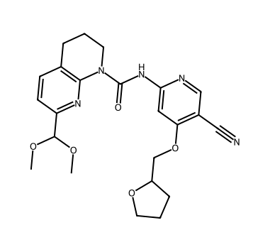 COC(OC)c1ccc2c(n1)N(C(=O)Nc1cc(OCC3CCCO3)c(C#N)cn1)CCC2